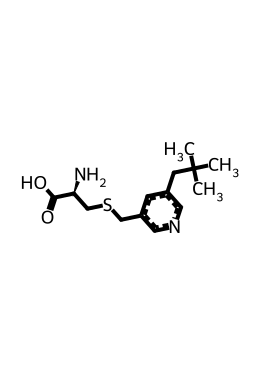 CC(C)(C)Cc1cncc(CSC[C@H](N)C(=O)O)c1